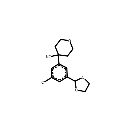 N#CC1(c2cc(Cl)cc(C3OCCO3)c2)CCOCC1